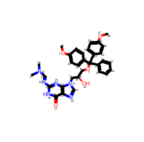 COc1ccc(C(OC[C@@H](O)Cn2cnc3c(=O)[nH]c(N=CN(C)C)nc32)(c2ccccc2)c2ccc(OC)cc2)cc1